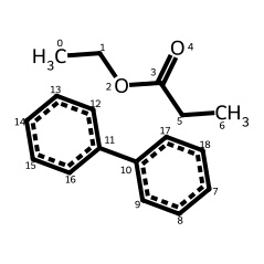 CCOC(=O)CC.c1ccc(-c2ccccc2)cc1